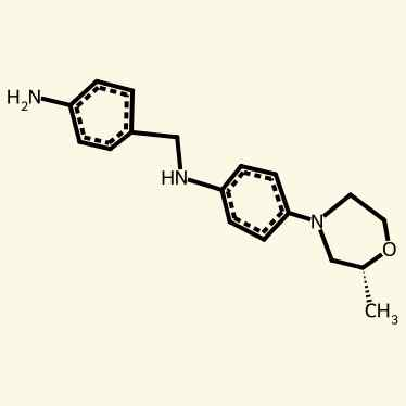 C[C@@H]1CN(c2ccc(NCc3ccc(N)cc3)cc2)CCO1